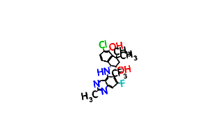 Cc1ncc2c(N[C@@H]3c4ccc(Cl)c(O)c4C(C)(C)C[C@]3(O)C(F)(F)F)cc(F)cc2n1